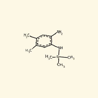 Cc1cc(N)c(N[Si](C)(C)C)cc1C